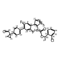 C[C@@H](OC(=O)Nc1c(-c2cc(F)c(-c3ccc(C4(C=O)CC4)cc3)cc2F)cnn1C)c1ccccc1Cl